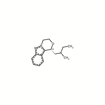 CCN(C)C[C@H]1OCCn2nc3ccccc3c21